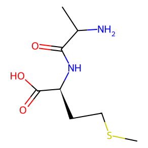 CSCC[C@H](NC(=O)C(C)N)C(=O)O